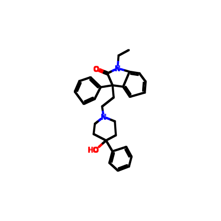 CCN1C(=O)C(CCN2CCC(O)(c3ccccc3)CC2)(c2ccccc2)c2ccccc21